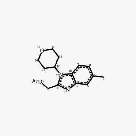 CC(=O)OCc1nc2cc(C)ccc2n1C1CCOCC1